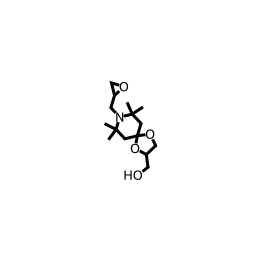 CC1(C)CC2(CC(C)(C)N1CC1CO1)OCC(CO)O2